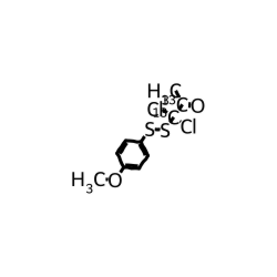 COc1ccc(SS[13C](Cl)(Cl)[13C](C)=O)cc1